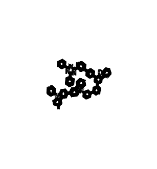 Cc1ccc2c(c1)c1cc(-c3ccc4c(c3)c3ccccc3n4-c3cccc(-c4cccc(-c5cc(-c6ccc(-c7cccc(-c8nc(-c9ccccc9)nc(-c9ccccc9)n8)c7)cc6)c6oc7ccccc7c6c5)c4)c3)ccc1n2-c1ccccc1